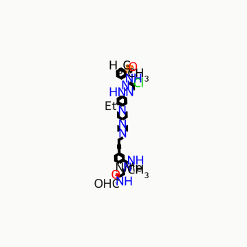 CCc1cc(Nc2ncc(Cl)c(Nc3ccccc3P(C)(C)=O)n2)ccc1N1CCC(N2CCN(CCC#Cc3ccc(NC)c(C(=N)N(C)CCC(=O)NC=O)c3)CC2)CC1